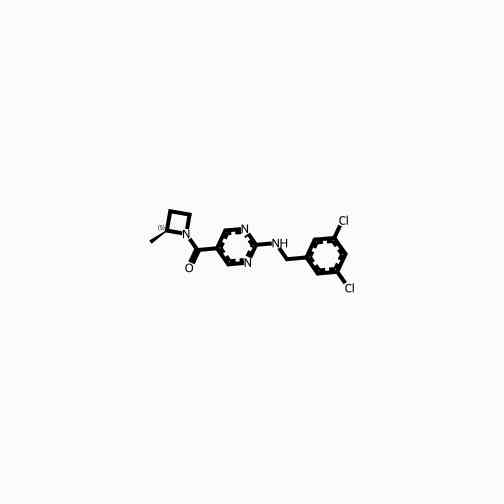 C[C@H]1CCN1C(=O)c1cnc(NCc2cc(Cl)cc(Cl)c2)nc1